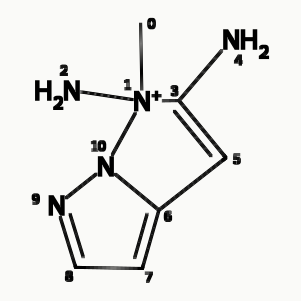 C[N+]1(N)C(N)=Cc2ccnn21